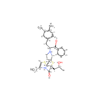 CC(O)C[C@@]1(SC2CCN(C(Cc3ccc([N+](=O)[O-])c([N+](=O)[O-])c3)C(=O)c3ccccc3)C2)C(=O)N2C(C(=O)O)=CS[C@@H]21